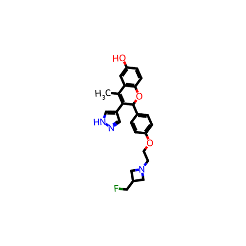 CC1=C(c2cn[nH]c2)C(c2ccc(OCCN3CC(CF)C3)cc2)Oc2ccc(O)cc21